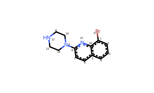 Brc1cccc2ccc(N3CCNCC3)nc12